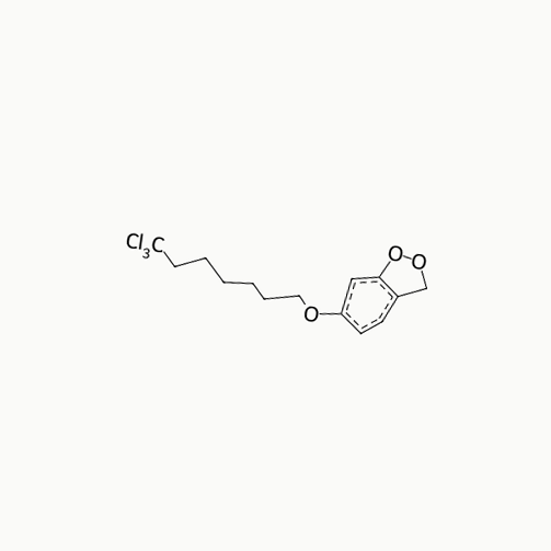 ClC(Cl)(Cl)CCCCCCOc1ccc2c(c1)OOC2